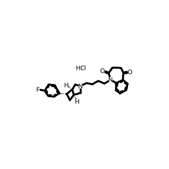 Cl.O=C1CCC(=O)N(CCCCN2C[C@H]3C[C@H](c4ccc(F)cc4)[C@H]3C2)c2ccccc21